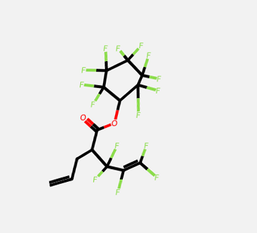 C=CCC(C(=O)OC1C(F)(F)C(F)(F)C(F)(F)C(F)(F)C1(F)F)C(F)(F)C(F)=C(F)F